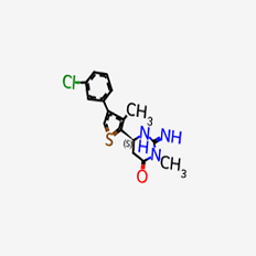 Cc1c(-c2cccc(Cl)c2)csc1[C@@H]1CC(=O)N(C)C(=N)N1